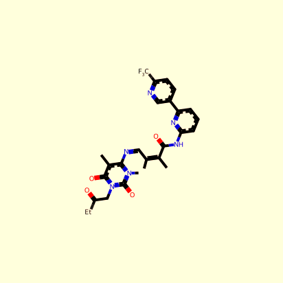 CCC(=O)Cn1c(=O)c(C)c(/N=C\C(C)=C(\C)C(=O)Nc2cccc(-c3ccc(C(F)(F)F)nc3)n2)n(C)c1=O